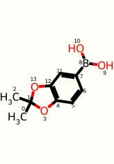 CC1(C)Oc2ccc(B(O)O)cc2O1